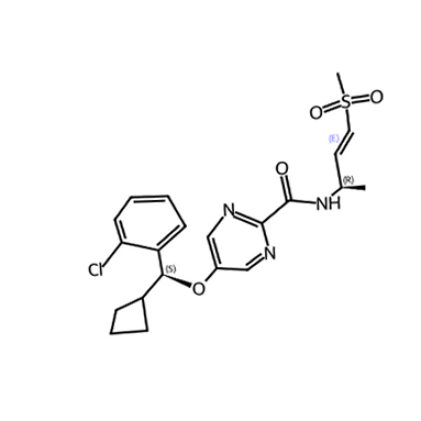 C[C@H](/C=C/S(C)(=O)=O)NC(=O)c1ncc(O[C@H](c2ccccc2Cl)C2CCC2)cn1